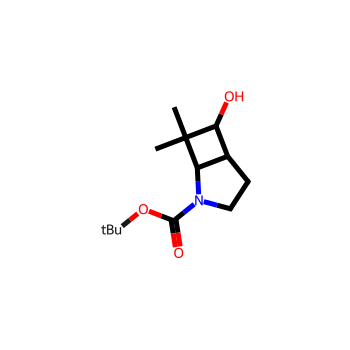 CC(C)(C)OC(=O)N1CCC2C(O)C(C)(C)C21